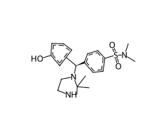 CN(C)S(=O)(=O)c1ccc([C@H](c2cccc(O)c2)N2CCNCC2(C)C)cc1